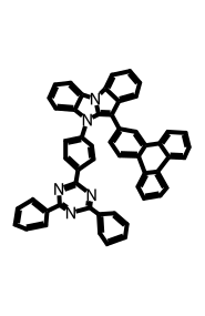 c1ccc(-c2nc(-c3ccccc3)nc(-c3ccc(-n4c5ccccc5n5c6ccccc6c(-c6ccc7c8ccccc8c8ccccc8c7c6)c45)cc3)n2)cc1